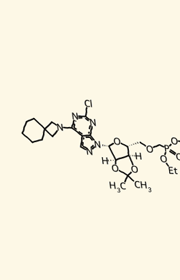 CCOP(=O)(COC[C@H]1O[C@@H](n2ncc3c(N4CC5(CCCCC5)C4)nc(Cl)nc32)[C@@H]2OC(C)(C)O[C@@H]21)OCC